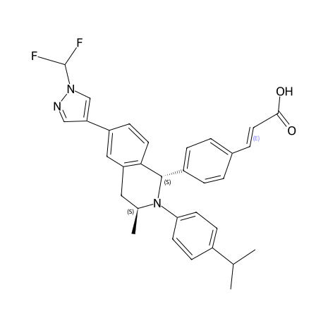 CC(C)c1ccc(N2[C@@H](c3ccc(/C=C/C(=O)O)cc3)c3ccc(-c4cnn(C(F)F)c4)cc3C[C@@H]2C)cc1